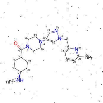 CCCN[C@H]1CC[C@H](C(=O)N2CCN(c3cnn(Cc4cccc(CCC)n4)c3)CC2)CC1